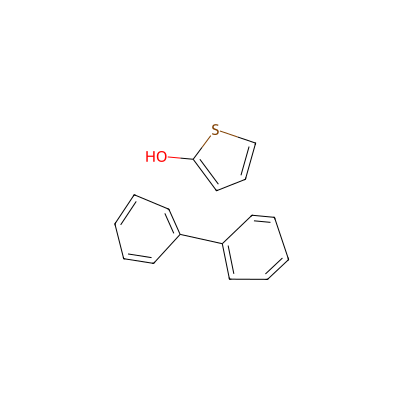 Oc1cccs1.c1ccc(-c2ccccc2)cc1